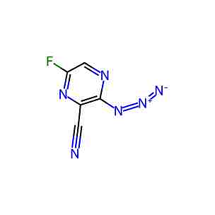 N#Cc1nc(F)cnc1N=[N+]=[N-]